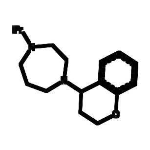 CC(C)N1CCCN(C2CCOc3ccccc32)CC1